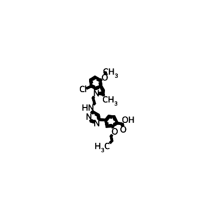 CCCOc1cc(-c2cc(NCCn3c(C)cc4c(OC)ccc(Cl)c43)ncn2)ccc1C(=O)O